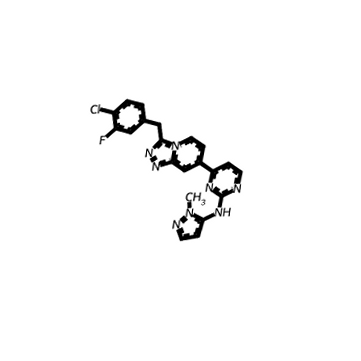 Cn1nccc1Nc1nccc(-c2ccn3c(Cc4ccc(Cl)c(F)c4)nnc3c2)n1